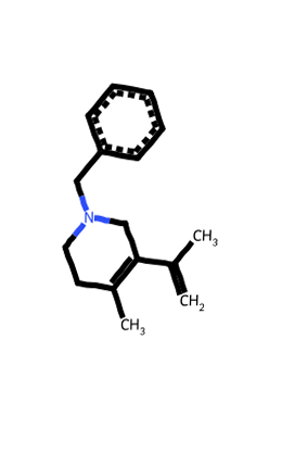 C=C(C)C1=C(C)CCN(Cc2ccccc2)C1